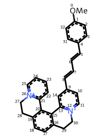 COc1ccc(/C=C/C=C/c2cc[n+]3c(c2)-c2c(ccc4c2-c2cccc[n+]2CC4)CC3)cc1